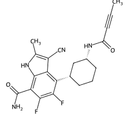 CC#CC(=O)N[C@@H]1CCC[C@H](c2c(F)c(F)c(C(N)=O)c3[nH]c(C)c(C#N)c23)C1